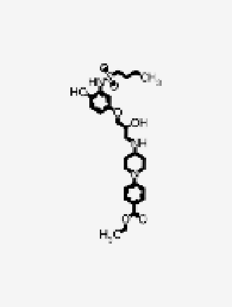 CCCCS(=O)(=O)Nc1cc(OC[C@@H](O)CNC2CCN(c3ccc(C(=O)OCC)cc3)CC2)ccc1O